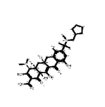 CN(C)[C@@H]1C(O)=C(C(N)=O)C(=O)[C@@]2(O)C(O)=C3C(=O)c4c(O)cc(C(C)(C)N(C)CC5CCCC5)c(F)c4C[C@H]3C[C@@H]12